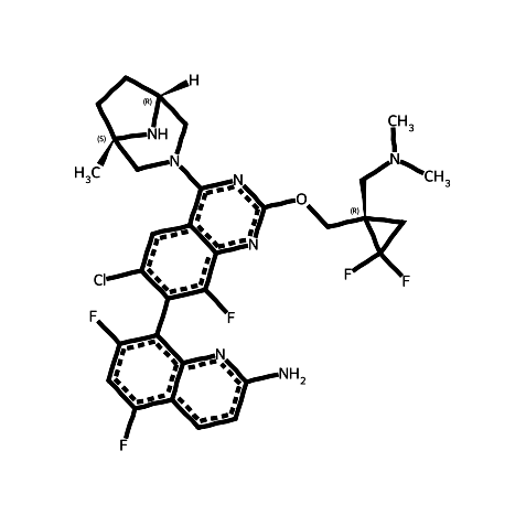 CN(C)C[C@@]1(COc2nc(N3C[C@H]4CC[C@@](C)(C3)N4)c3cc(Cl)c(-c4c(F)cc(F)c5ccc(N)nc45)c(F)c3n2)CC1(F)F